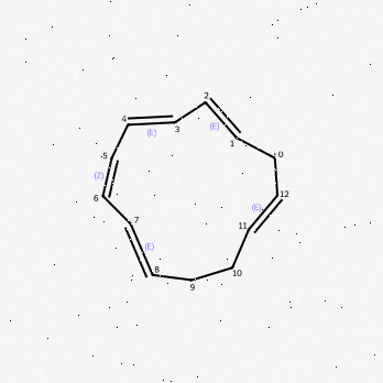 [CH]1/C=C/C=C/C=C\C=C\CC/C=C/1